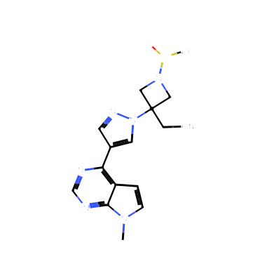 CC[S+]([O-])N1CC(CC#N)(n2cc(-c3ncnc4c3ccn4C)cn2)C1